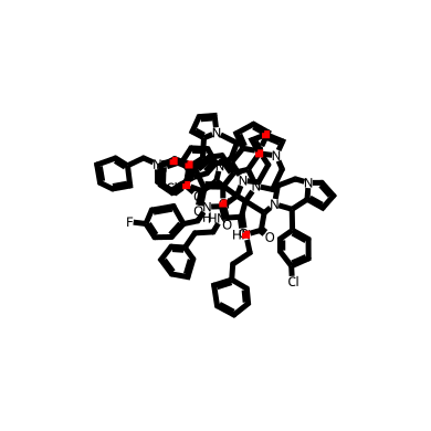 O=C(NCCc1ccccc1)C(N1CCn2cccc2C1c1ccc(Cl)cc1)C(C(=O)NCCc1ccccc1)(N1CCn2cccc2C1c1ccccc1Cl)C(C(=O)NCc1ccc(F)cc1)(C(C(=O)N1CCN(Cc2ccccc2)CC1)N1CCn2cccc2C1c1ccccc1Cl)N1CCn2cccc2C1c1ccc(Cl)c(Cl)c1